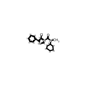 CN(C(=O)n1cnc(-c2ccccc2)c1Cl)C1CCCCC1